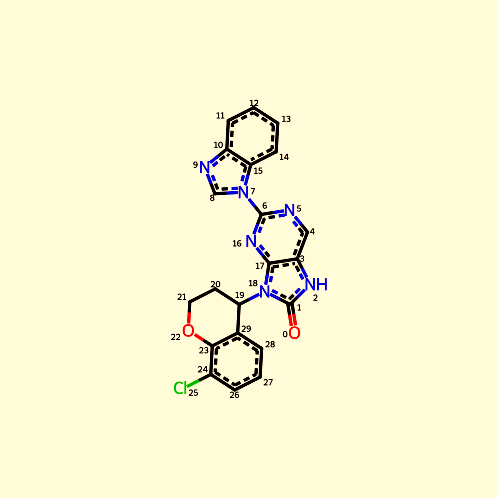 O=c1[nH]c2cnc(-n3cnc4ccccc43)nc2n1C1CCOc2c(Cl)cccc21